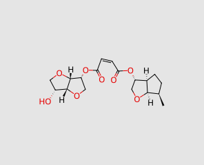 C[C@@H]1CC[C@H]2[C@@H]1OC[C@@H]2OC(=O)/C=C\C(=O)O[C@@H]1CO[C@H]2[C@@H]1OC[C@H]2O